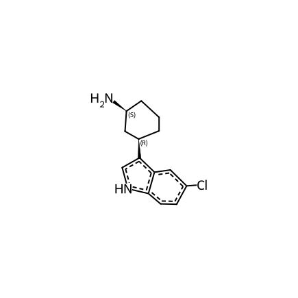 N[C@H]1CCC[C@@H](c2c[nH]c3ccc(Cl)cc23)C1